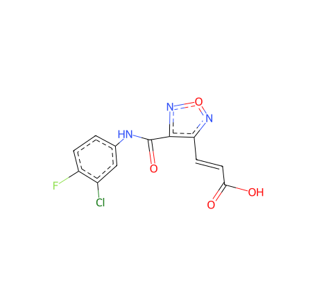 O=C(O)/C=C/c1nonc1C(=O)Nc1ccc(F)c(Cl)c1